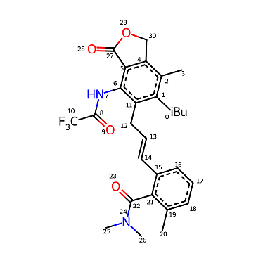 CCC(C)c1c(C)c2c(c(NC(=O)C(F)(F)F)c1CC=Cc1cccc(C)c1C(=O)N(C)C)C(=O)OC2